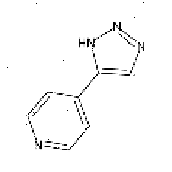 [c]1nn[nH]c1-c1ccncc1